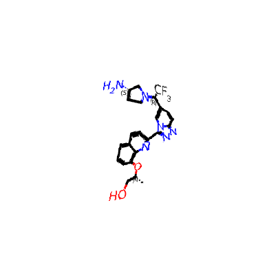 C[C@H](CO)Oc1cccc2ccc(-c3nnc4ccc([C@@H](N5CC[C@H](N)C5)C(F)(F)F)cn34)nc12